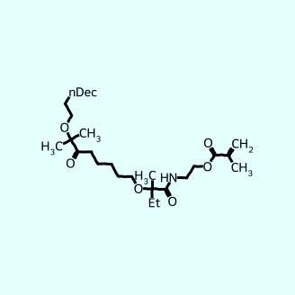 C=C(C)C(=O)OCCNC(=O)C(C)(CC)OCCCCCC(=O)C(C)(C)OCCCCCCCCCCCC